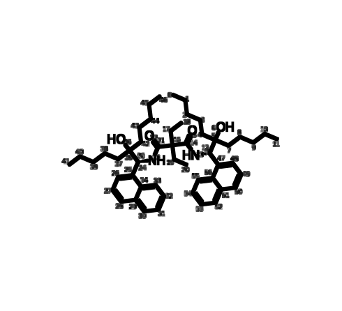 CCCCCC(O)(CCCCC)[C@@H](NC(=O)C(CC)(CC)C(=O)N[C@@H](c1cccc2ccccc12)C(O)(CCCCC)CCCCC)c1cccc2ccccc12